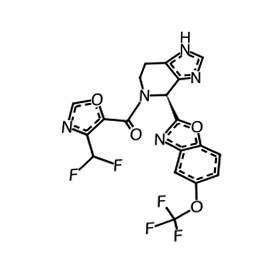 O=C(c1ocnc1C(F)F)N1CCc2[nH]cnc2[C@H]1c1nc2cc(OC(F)(F)F)ccc2o1